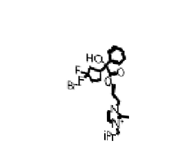 Cc1n(CCCOC(=O)[C@](O)(c2ccccc2)[C@H]2CCC(F)(F)C2)cc[n+]1CC(C)C.[Br-]